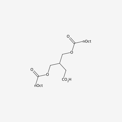 CCCCCCCCC(=O)OCC(COC(=O)CCCCCCCC)CC(=O)O